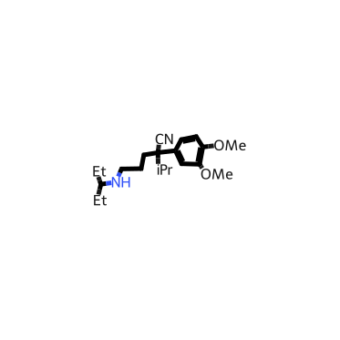 CCC(CC)NCCCC(C#N)(c1ccc(OC)c(OC)c1)C(C)C